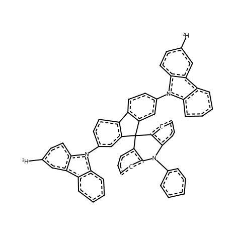 [2H]c1ccc2c(c1)c1ccccc1n2-c1ccc2c(c1)C1(c3cc(-n4c5ccccc5c5cc([2H])ccc54)ccc3-2)c2ccccc2N(c2ccccc2)c2ccccc21